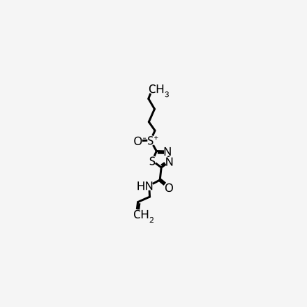 C=CCNC(=O)c1nnc([S+]([O-])CCCCC)s1